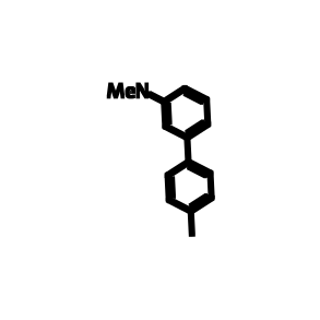 CNc1cccc(-c2ccc(C)cc2)c1